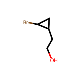 OCCC1CC1Br